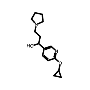 OC(CCN1CCCC1)c1ccc(OC2CC2)nc1